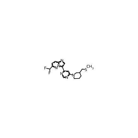 CSCC1CCCN(c2cc(-c3cnc4ccc(C(F)F)nn34)ncn2)C1